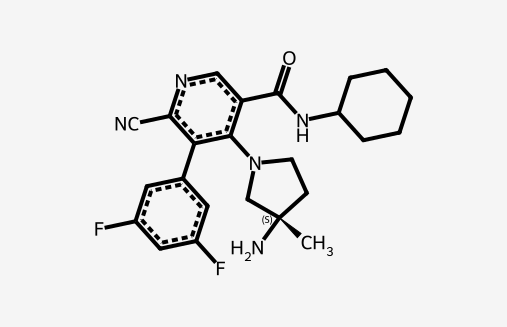 C[C@]1(N)CCN(c2c(C(=O)NC3CCCCC3)cnc(C#N)c2-c2cc(F)cc(F)c2)C1